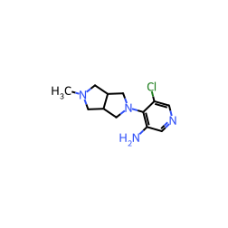 CN1CC2CN(c3c(N)cncc3Cl)CC2C1